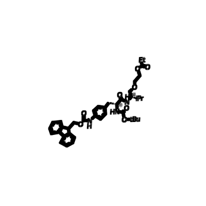 CCC(=O)OCCOC[C@@H](NC(=O)[C@@H](Cc1ccc(NC(=O)OCC2c3ccccc3-c3ccccc32)cc1)NC(=O)OC(C)(C)C)C(C)C